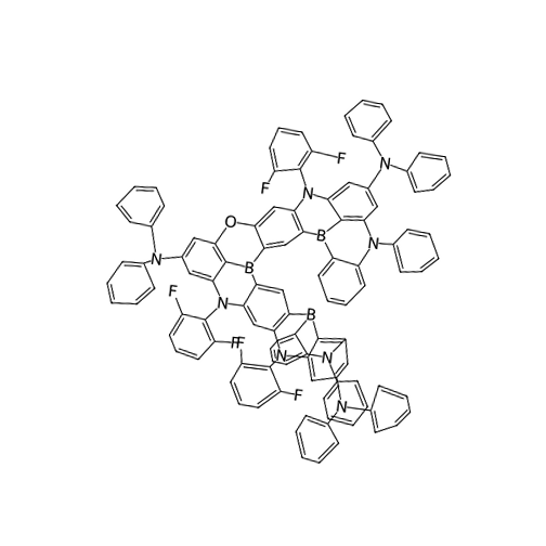 Fc1cccc(F)c1N1c2cc3c(cc2B2c4cc5c(cc4Oc4cc(N(c6ccccc6)c6ccccc6)cc1c42)N(c1c(F)cccc1F)c1cc(N(c2ccccc2)c2ccccc2)cc2c1B5c1ccccc1N2c1ccccc1)B1c2ccccc2N(c2ccccc2)c2cc(N(c4ccccc4)c4ccccc4)cc(c21)N3c1c(F)cccc1F